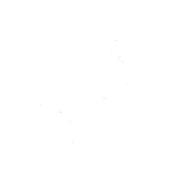 CC(C)=C(C(=O)O)c1ccccc1COc1cccc(N2CCOCC2)c1